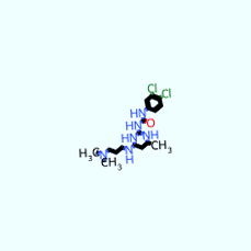 CC1CC(NCCCN(C)C)NC(NC(=O)Nc2ccc(Cl)c(Cl)c2)N1